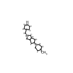 CC1CCN(C2CC3CN(CC4CCNCC4)CC3C2)CC1